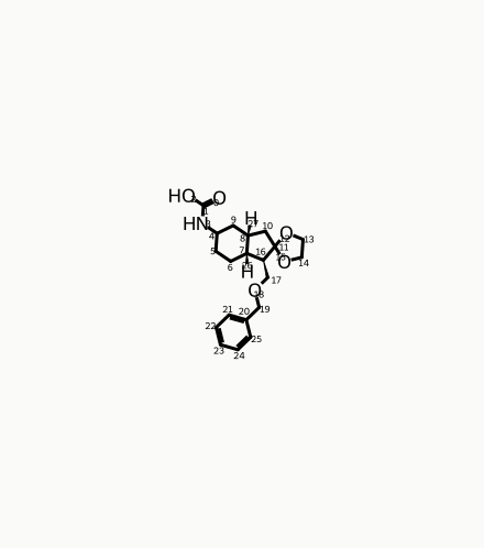 O=C(O)NC1CC[C@@H]2[C@H](C1)CC1(OCCO1)[C@H]2COCc1ccccc1